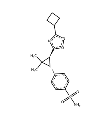 CC1(C)[C@@H](c2ccc(S(N)(=O)=O)cc2)[C@@H]1c1nc(C2CCC2)no1